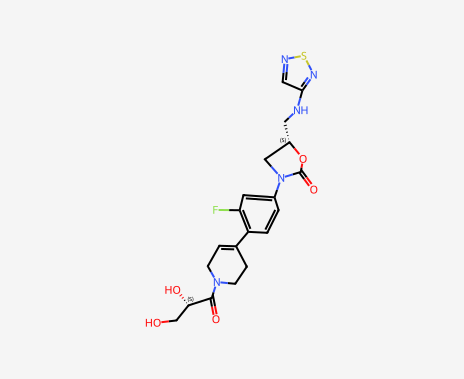 O=C([C@@H](O)CO)N1CC=C(c2ccc(N3C[C@H](CNc4cnsn4)OC3=O)cc2F)CC1